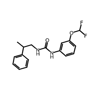 CC(CNC(=O)Nc1cccc(OC(F)F)c1)c1ccccc1